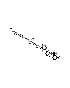 COCCOCCOCCOCCC(=O)NCCCNc1nccc(-c2ccnc(Nc3cccc(Cl)c3)n2)c1C